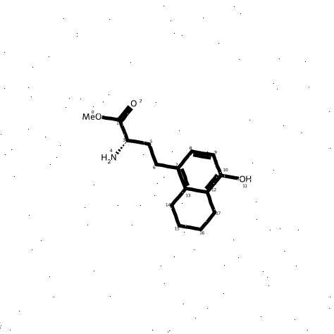 COC(=O)[C@@H](N)CCc1ccc(O)c2c1CCCC2